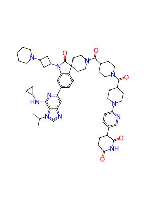 CC(C)n1cnc2cc(-c3ccc4c(c3)N(C3CC(N5CCCCC5)C3)C(=O)C43CCN(C(=O)C4CCN(C(=O)C5CCN(c6ccc(C7CCC(=O)NC7=O)cn6)CC5)CC4)CC3)nc(NC3CC3)c21